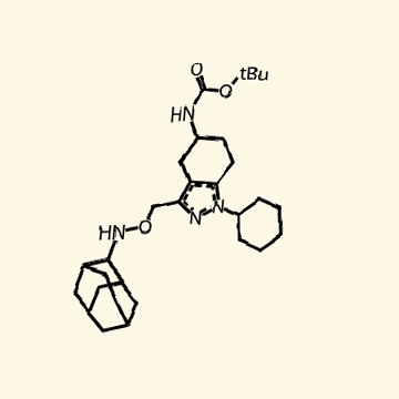 CC(C)(C)OC(=O)NC1CCc2c(c(CONC3C4CC5CC(C4)CC3C5)nn2C2CCCCC2)C1